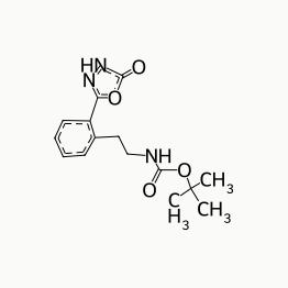 CC(C)(C)OC(=O)NCCc1ccccc1-c1n[nH]c(=O)o1